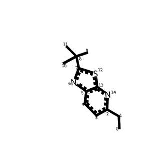 CCc1ccc2nc(C(C)(C)C)sc2n1